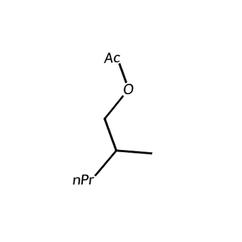 CCCC(C)COC(C)=O